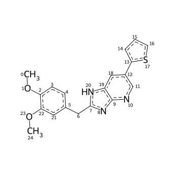 COc1ccc(Cc2nc3ncc(-c4cccs4)cc3[nH]2)cc1OC